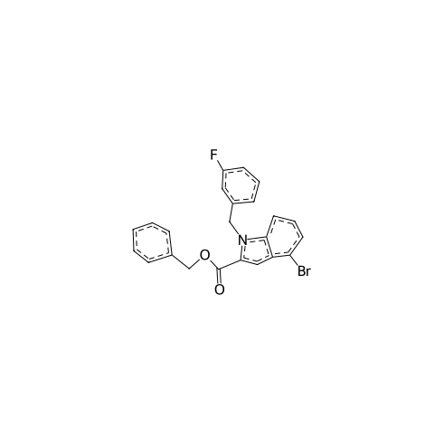 O=C(OCc1ccccc1)c1cc2c(Br)cccc2n1Cc1cccc(F)c1